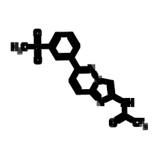 CS(=O)(=O)c1cccc(-c2ccc3nc(NC(=O)C(F)(F)F)cn3n2)c1